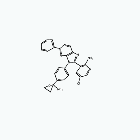 Nc1ncc(Cl)cc1-c1nc2ccc(-c3ccccc3)nc2n1-c1ccc(C2(N)CCC2)cc1